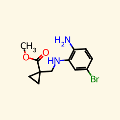 COC(=O)C1(CNc2cc(Br)ccc2N)CC1